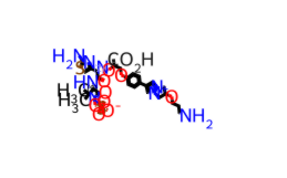 CC1(C)[C@H](NC(=O)/C(=N\OC(COc2ccc(-c3cn4[n+](c3)CC(OCCCN)C4)cc2)C(=O)O)c2csc(N)n2)C(=O)N1OS(=O)(=O)[O-]